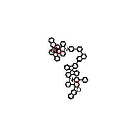 c1ccc(-c2ccc(N(c3ccccc3-c3cccc4oc5cc6ccccc6cc5c34)c3cccc4c3-c3ccccc3C43c4ccccc4-c4cc(-c5ccc6c(-c7cccc(-c8ccc(N(c9ccccc9-c9cccc%10oc%11cc%12ccccc%12cc%11c9%10)c9cccc%10c9-c9ccccc9C%109c%10ccccc%10-c%10ccccc%109)cc8)c7)cccc6c5)ccc43)cc2)cc1